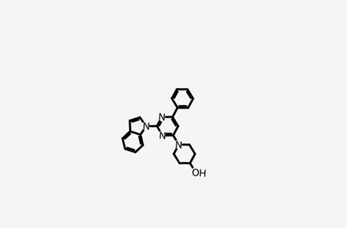 OC1CCN(c2cc(-c3ccccc3)nc(-n3ccc4ccccc43)n2)CC1